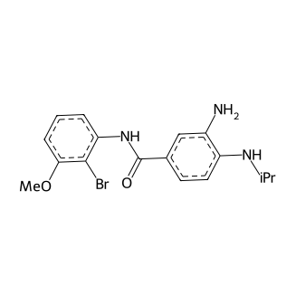 COc1cccc(NC(=O)c2ccc(NC(C)C)c(N)c2)c1Br